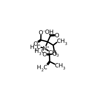 C=C(C)C(=O)OC(C)C(C(=O)[O-])(C(=O)O)[N+](C)(C)C